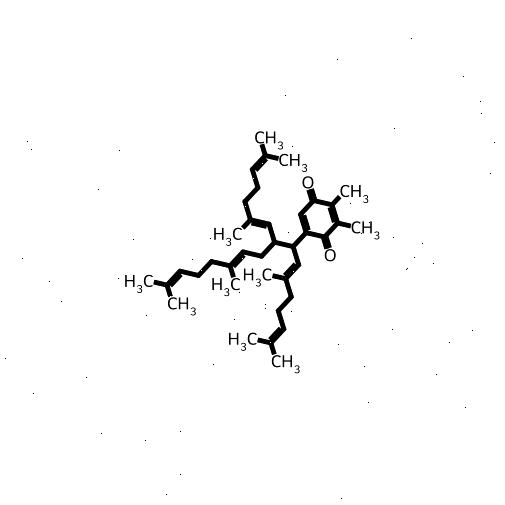 CC(C)=CCC/C(C)=C/CC(/C=C(\C)CCC=C(C)C)C(/C=C(\C)CCC=C(C)C)C1=CC(=O)C(C)=C(C)C1=O